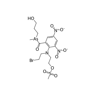 C[As](CCCO)C(=O)c1cc([N+](=O)[O-])cc([N+](=O)[O-])c1N(CCBr)CCOS(C)(=O)=O